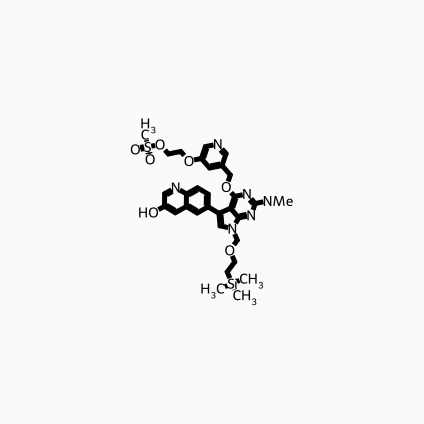 CNc1nc(OCc2cncc(OCCOS(C)(=O)=O)c2)c2c(-c3ccc4ncc(O)cc4c3)cn(COCC[Si](C)(C)C)c2n1